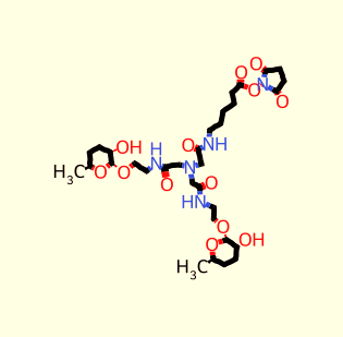 C[C@@H]1CC[C@H](O)[C@@H](OCCNC(=O)CN(CC(=O)NCCCCCC(=O)ON2C(=O)CCC2=O)CC(=O)NCCO[C@@H]2O[C@@H](C)CC[C@@H]2O)O1